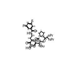 CCCC(CCC)C(=O)N1CCC[C@H]1C(=O)N(C)C(C(=O)NC(CCNC(=O)c1cc(F)cc(F)c1)C(=O)NO)C(C)CC